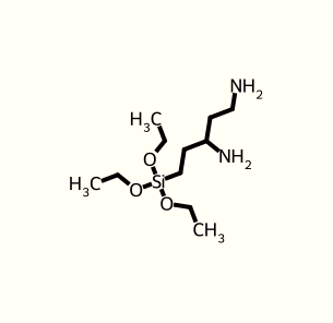 CCO[Si](CCC(N)CCN)(OCC)OCC